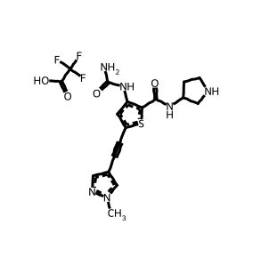 Cn1cc(C#Cc2cc(NC(N)=O)c(C(=O)NC3CCNC3)s2)cn1.O=C(O)C(F)(F)F